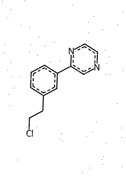 ClCCc1cccc(-c2cnccn2)c1